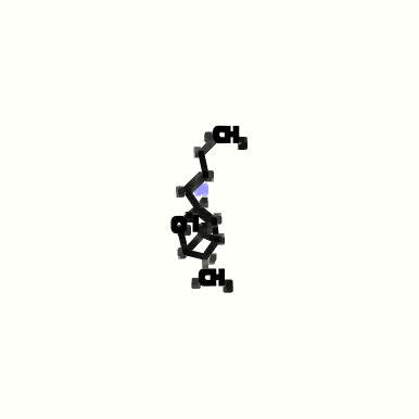 CC/C=C/C1=CC2C(C)C(O1)C2I